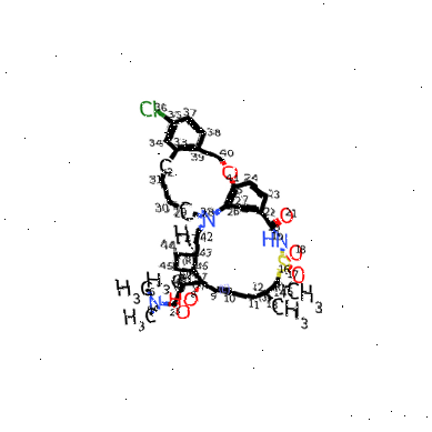 C[C@H](C(=O)N(C)C)[C@@]1(O)/C=C/C[C@H](C)[C@@H](C)S(=O)(=O)NC(=O)c2ccc3c(c2)N(CCCCc2cc(Cl)ccc2CO3)C[C@@H]2CC[C@H]21